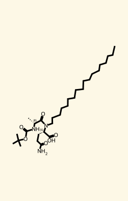 CCCCCCCCCCCCCCCCCCN(C(=O)[C@@H](C)NC(=O)OC(C)(C)C)[C@@H](CCC(N)=O)C(=O)O